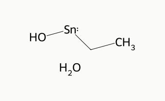 C[CH2][Sn][OH].O